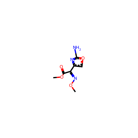 CON=C(C(=O)OC)c1coc(N)n1